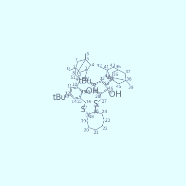 CC12CC3CC(C)(C1)CC(c1cc(C(C)(C)C)cc(CS[C@H]4CCCCCC[C@@H]4SCc4cc(C(C)(C)C)cc(C56CC7CC(C)(CC(C)(C7)C5)C6)c4O)c1O)(C3)C2